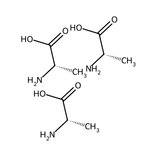 C[C@H](N)C(=O)O.C[C@H](N)C(=O)O.C[C@H](N)C(=O)O